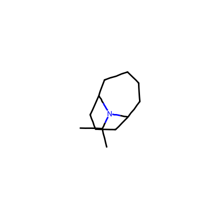 CC(C)N1C2CCCCC1CCC2